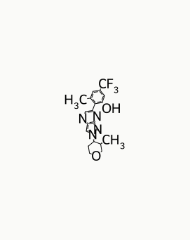 Cc1cc(C(F)(F)F)cc(O)c1-c1cnc2cn([C@@H]3CCOC[C@@H]3C)nc2n1